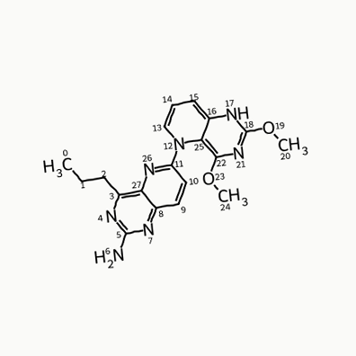 CCCc1nc(N)nc2ccc(N3C=CC=C4NC(OC)=NC(OC)=C43)nc12